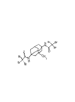 CC12CC3CC(NC(=O)C(Br)(Br)Br)(C1)CC(NC(=O)C(Br)(Br)Br)(C3)C2